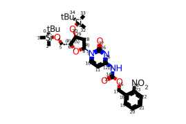 CC(C)(C)[Si](C)(C)OC[C@H]1O[C@@H](n2ccc(NC(=O)OCc3ccccc3[N+](=O)[O-])nc2=O)C[C@@H]1O[Si](C)(C)C(C)(C)C